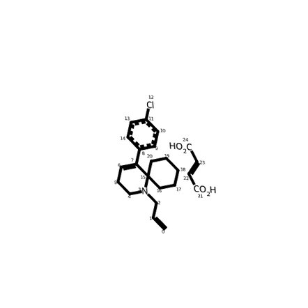 C=CCN1CCC=C(c2ccc(Cl)cc2)C12CCCCC2.O=C(O)C=CC(=O)O